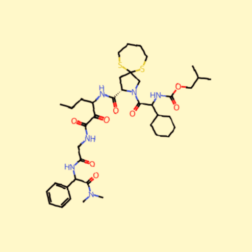 CCCC(NC(=O)[C@@H]1CC2(CN1C(=O)C(NC(=O)OCC(C)C)C1CCCCC1)SCCCCS2)C(=O)C(=O)NCC(=O)NC(C(=O)N(C)C)c1ccccc1